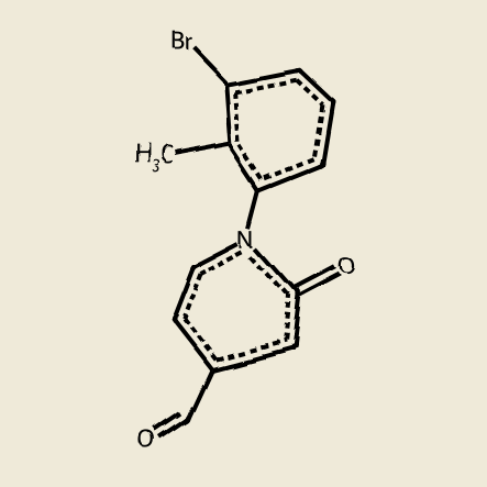 Cc1c(Br)cccc1-n1ccc(C=O)cc1=O